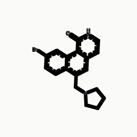 O=c1[nH]ccc2cc(CN3CCCC3)c3ccc(Br)cc3c12